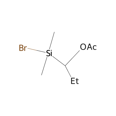 CCC(OC(C)=O)[Si](C)(C)Br